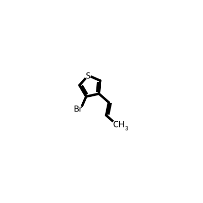 CC=Cc1cscc1Br